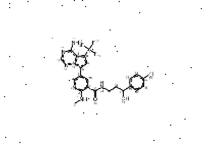 CNc1ncc(-c2cc(C(F)(F)F)c3c(N)ncnn23)cc1C(=O)NCCC(O)c1ccc(Cl)cc1